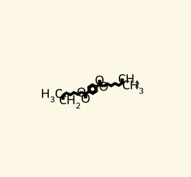 C=C(C)CCCCOC(=O)c1ccc(C(=O)OCCCCC(=C)C)cc1